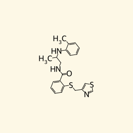 Cc1ccccc1NC(C)CNC(=O)c1ccccc1SCc1cscn1